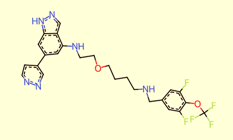 Fc1cc(CNCCCCOCCNc2cc(-c3ccnnc3)cc3[nH]ncc23)cc(F)c1OC(F)(F)F